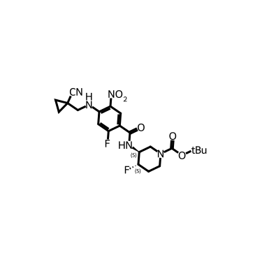 CC(C)(C)OC(=O)N1CC[C@H](F)[C@@H](NC(=O)c2cc([N+](=O)[O-])c(NCC3(C#N)CC3)cc2F)C1